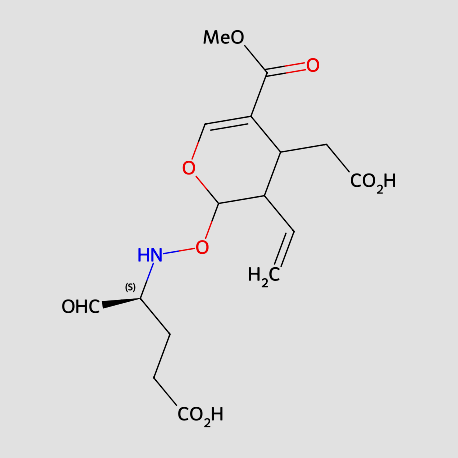 C=CC1C(ON[C@H](C=O)CCC(=O)O)OC=C(C(=O)OC)C1CC(=O)O